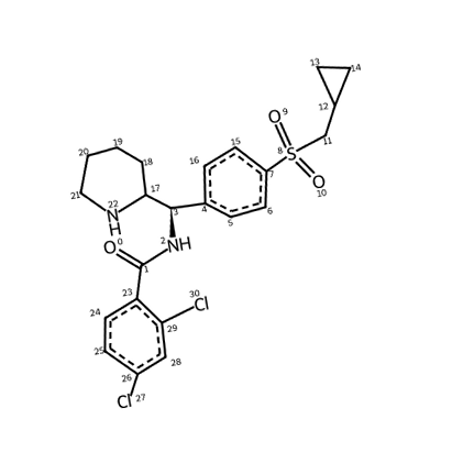 O=C(N[C@H](c1ccc(S(=O)(=O)CC2CC2)cc1)C1CCCCN1)c1ccc(Cl)cc1Cl